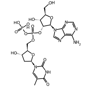 Cc1cn([C@H]2C[C@H](O)[C@@H](COP(=O)(O[C@@H]3[C@H](O)[C@@H](CO)O[C@H]3n3cnc4c(N)ncnc43)OP(=O)(O)O)O2)c(=O)[nH]c1=O